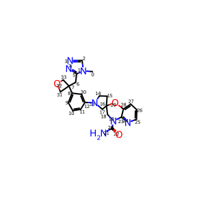 Cn1cnnc1CC1(c2cccc(N3CCC4(C3)CN(C(N)=O)c3ncccc3O4)c2)COC1